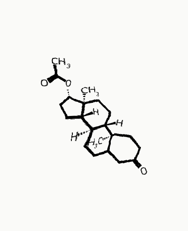 CC(=O)O[C@H]1CC[C@H]2[C@@H]3CCC4CC(=O)CC[C@]4(C)[C@H]3CC[C@]12C